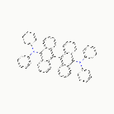 C1=CC(N(c2ccccc2)c2c3ccccc3c(-c3c4ccccc4c(N(c4ccccc4)c4ccccc4)c4ccccc34)c3ccccc23)=CCC1